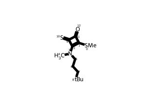 CSc1c(N(C)CCCC(C)(C)C)c(=S)c1=O